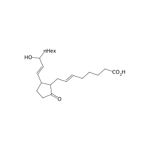 CCCCCCC(O)C=CC1CCC(=O)C1CC=CCCCCC(=O)O